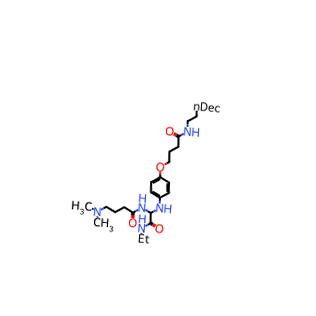 CCCCCCCCCCCCNC(=O)CCCOc1ccc(NC(NC(=O)CCCN(C)C)C(=O)NCC)cc1